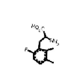 Cc1ccc(F)c(CC(N)C(=O)O)c1C